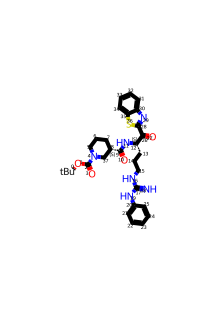 CC(C)(C)OC(=O)N1CCC[C@H](C(=O)N[C@@H](CCCNC(=N)Nc2ccccc2)C(=O)c2nc3ccccc3s2)C1